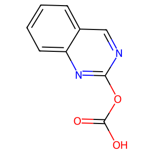 O=C(O)Oc1ncc2ccccc2n1